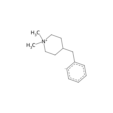 C[N+]1(C)CCC(Cc2[c]cccc2)CC1